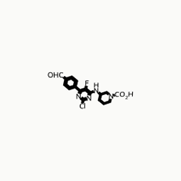 O=Cc1ccc(-c2nc(Cl)nc(NC3CCCN(C(=O)O)C3)c2F)cc1